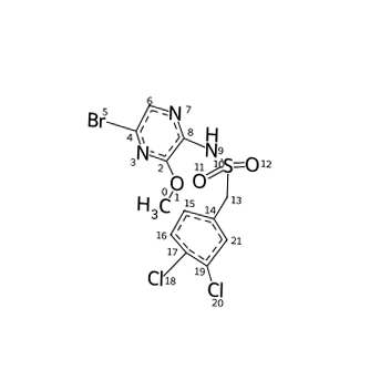 COc1nc(Br)cnc1NS(=O)(=O)Cc1ccc(Cl)c(Cl)c1